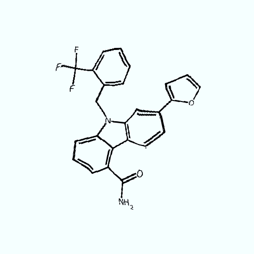 NC(=O)c1cccc2c1c1[c]cc(-c3ccco3)cc1n2Cc1ccccc1C(F)(F)F